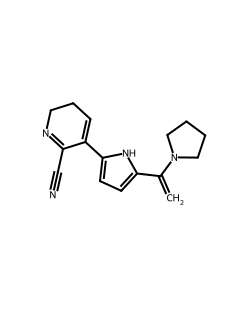 C=C(c1ccc(C2=CCCN=C2C#N)[nH]1)N1CCCC1